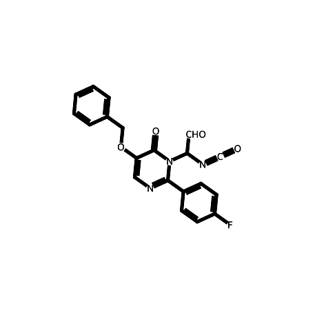 O=C=NC(C=O)n1c(-c2ccc(F)cc2)ncc(OCc2ccccc2)c1=O